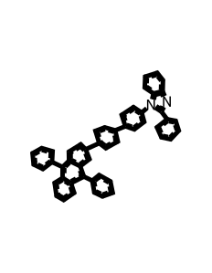 c1ccc(-c2c3ccccc3c(-c3ccccc3)c3cc(-c4ccc(-c5ccc(-n6c(-c7ccccc7)nc7ccccc76)cc5)cc4)ccc23)cc1